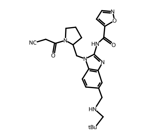 CC(C)(C)CNCc1ccc2c(c1)nc(NC(=O)c1ccno1)n2CC1CCCN1C(=O)CC#N